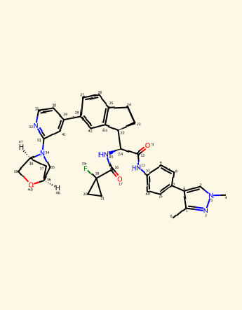 Cc1nn(C)cc1-c1ccc(NC(=O)[C@@H](NC(=O)C2(F)CC2)[C@@H]2CCc3ccc(-c4ccnc(N5C[C@@H]6C[C@H]5CO6)c4)cc32)cc1